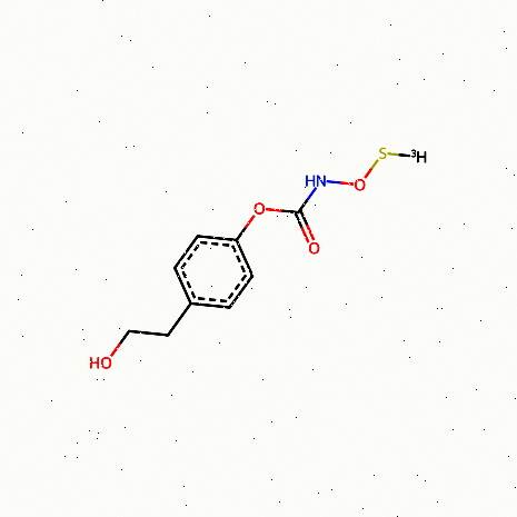 [3H]SONC(=O)Oc1ccc(CCO)cc1